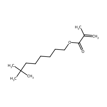 C=C(C)C(=O)OCCCCCCC(C)(C)C